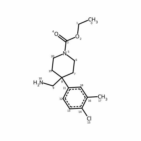 CCOC(=O)N1CCC(CN)(c2ccc(Cl)c(C)c2)CC1